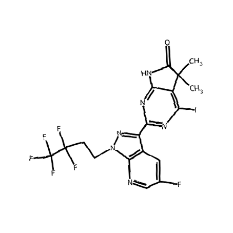 CC1(C)C(=O)Nc2nc(-c3nn(CCC(F)(F)C(F)(F)F)c4ncc(F)cc34)nc(I)c21